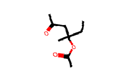 CCC(C)(CC(C)=O)OC(C)=O